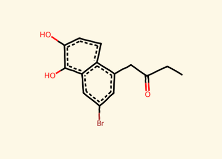 CCC(=O)Cc1cc(Br)cc2c(O)c(O)ccc12